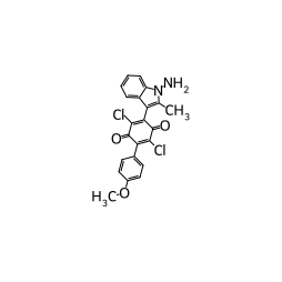 COc1ccc(C2=C(Cl)C(=O)C(c3c(C)n(N)c4ccccc34)=C(Cl)C2=O)cc1